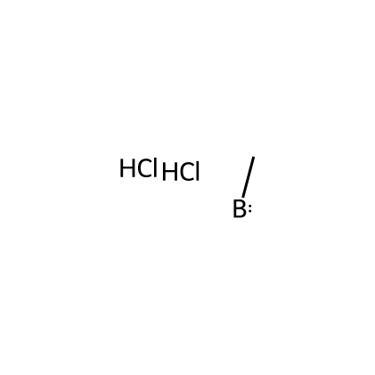 Cl.Cl.[B]C